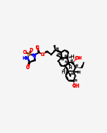 CC[C@H]1[C@@H](O)[C@@H]2[C@H](CC[C@]3(C)[C@@H]([C@H](C)CCOC(=O)N4CC(=O)NS4(=O)=O)CC[C@@H]23)[C@@]2(C)CC[C@@H](O)C[C@@H]12